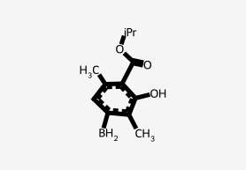 Bc1cc(C)c(C(=O)OC(C)C)c(O)c1C